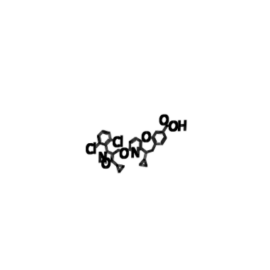 O=C(O)c1ccc2c(c1)Oc1ccc(OCc3c(-c4c(Cl)cccc4Cl)noc3C3CC3)nc1C(C1CC1)C2